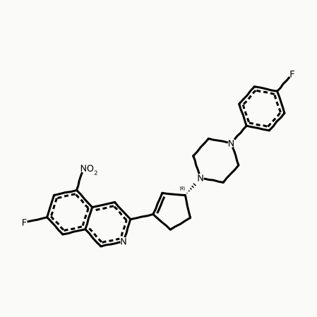 O=[N+]([O-])c1cc(F)cc2cnc(C3=C[C@H](N4CCN(c5ccc(F)cc5)CC4)CC3)cc12